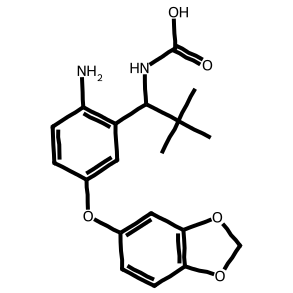 CC(C)(C)C(NC(=O)O)c1cc(Oc2ccc3c(c2)OCO3)ccc1N